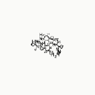 CN1C(=O)NC(Nc2ccc(Oc3cnc(C(=O)N=NN)cn3)cc2)N(Cc2ccc(Cl)cc2)C1=O